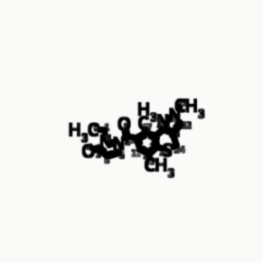 CCn1c(=O)ccn1C(=O)c1cc(C)c2c(c1C)-c1nn(C)cc1CS2